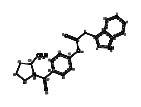 O=C(Cc1c[nH]c2ccccc12)Oc1ccc(C(=O)N2CCCC2C(=O)O)cc1